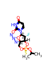 CC(C)OP1(=S)OC[C@@]2(N=[N+]=[N-])O[C@@H](n3ccc(=O)[nH]c3=O)[C@H](F)[C@@H]2O1